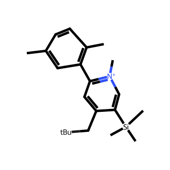 Cc1ccc(C)c(-c2cc(CC(C)(C)C)c([Si](C)(C)C)c[n+]2C)c1